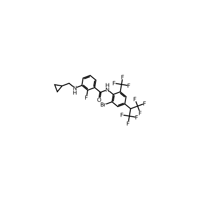 O=C(Nc1c(Br)cc(C(C(F)(F)F)C(F)(F)F)cc1C(F)(F)F)c1cccc(NCC2CC2)c1F